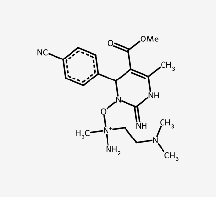 COC(=O)C1=C(C)NC(=N)N(O[N+](C)(N)CCN(C)C)C1c1ccc(C#N)cc1